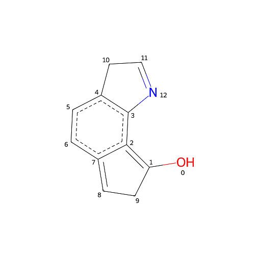 OC1=c2c3c(ccc2=CC1)CC=N3